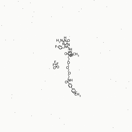 CC(=O)N[C@@H](CSc1nc2c(=O)[nH]c(N)nc2n1Cc1ccc(F)cc1)C(=O)NCCCOCCOCCOCCCNC(=O)c1ccc(-c2cc[n+](C)cc2)cc1.O=C([O-])C(F)(F)F